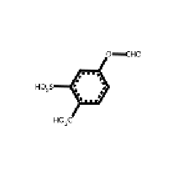 O=COc1ccc(C(=O)O)c(S(=O)(=O)O)c1